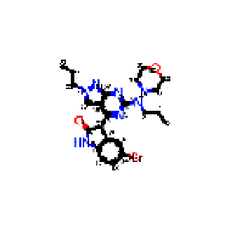 CCCN(c1nc(C2C(=O)Nc3ccc(Br)cc32)c2cn(CCC)nc2n1)N1CCOCC1